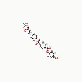 CC(C)(C)OC(=O)/C=C/c1ccc(OC(=O)C2CCC(C(=O)Oc3ccc(O)cc3)CC2)cc1